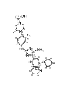 CC1CN(C(=O)O)CCN1c1ccc(Nc2nc(N)n(-c3cc(-c4ccccc4)c4c(n3)C3CCN4CC3)n2)cc1F